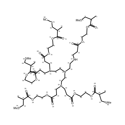 CSCC(C)C(=O)OCCOC(=O)CCNCCN(CCN(CCC(=O)OCCOC(=O)C(C)CSC)CCC(=O)OCCOC(=O)C(C)CSC)CCN(CCC(=O)OCCOC(=O)C(C)CSC)CCC(=O)OCCOC(=O)C(C)CSC#N